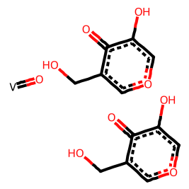 O=c1c(O)cocc1CO.O=c1c(O)cocc1CO.[O]=[V]